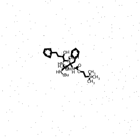 CC(O)C(Cc1ccccc1)(NC(=O)OCC[Si](C)(C)C)N(C(=O)O)C(NC(=O)NC(C)(C)C)C(O)CCc1ccccc1